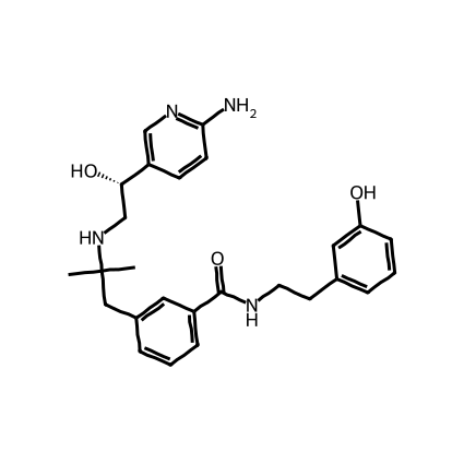 CC(C)(Cc1cccc(C(=O)NCCc2cccc(O)c2)c1)NC[C@H](O)c1ccc(N)nc1